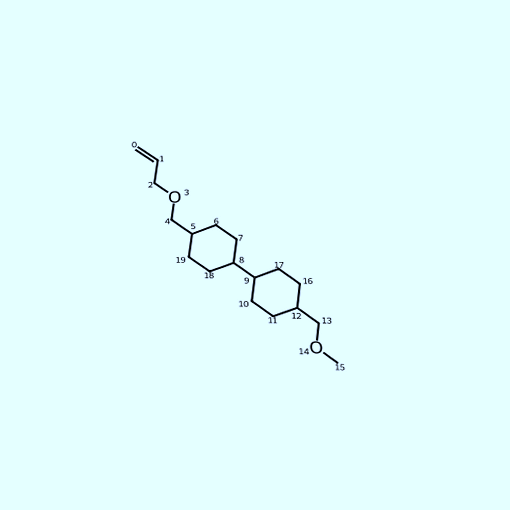 C=CCOCC1CCC(C2CCC(COC)CC2)CC1